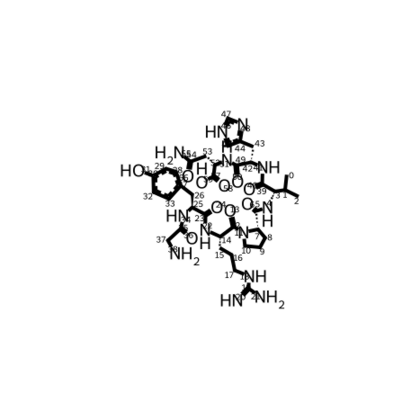 CC(C)[C@H](NC(=O)[C@@H]1CCCN1C(=O)[C@H](CCCNC(=N)N)NC(=O)[C@H](Cc1ccc(O)cc1)NC(=O)CN)C(=O)N[C@@H](Cc1c[nH]cn1)C(=O)N[C@@H](CC(N)=O)C(=O)O